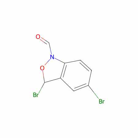 O=CN1OC(Br)c2cc(Br)ccc21